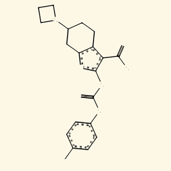 NC(=O)c1c(NC(=O)Nc2ccc(Cl)cc2)sc2c1CCC(N1CCC1)C2